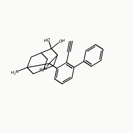 C#Cc1c(-c2ccccc2)cccc1C1(N)C2CC3CC(CC1(N)C3)C2(O)O